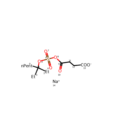 CCCCCC(CC)(CC)OS(=O)(=O)OC(=O)CCC(=O)[O-].[Na+]